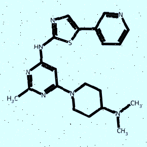 Cc1nc(Nc2ncc(-c3cccnc3)s2)cc(N2CCC(N(C)C)CC2)n1